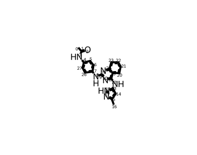 CC(=O)Nc1ccc(Nc2nc(Nc3cc(C)n[nH]3)c3ccccc3n2)cc1